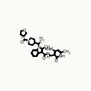 CSc1cc(C)[nH]c(=O)c1CNC(=O)c1c(C)n(C(C)C2CCN(C(=O)[C@@H]3CCOC3)CC2)c2ccccc12